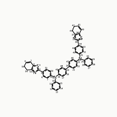 C1=Cc2sc(-c3ccc(N(c4ccccc4)c4ccc(-c5ccc(N(c6ccccc6)c6ccc(-c7nc8c(s7)C=CCC8)cc6)cc5)cc4)cc3)nc2CC1